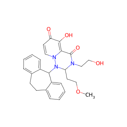 COCCC1N(CCO)C(=O)c2c(O)c(=O)ccn2N1C1c2ccccc2CCc2ccccc21